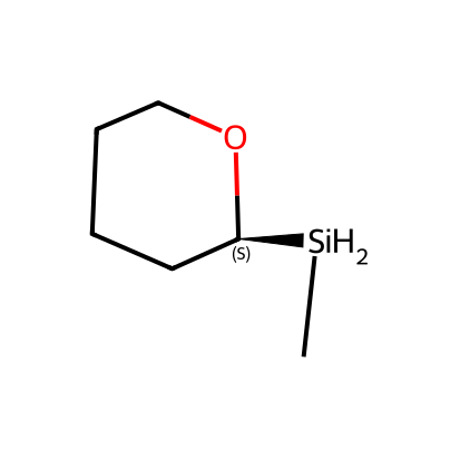 C[SiH2][C@H]1CCCCO1